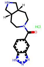 Cl.O=C(c1ccc2[nH]nnc2c1)N1CC[C@@H]2CNC[C@@H]2CC1